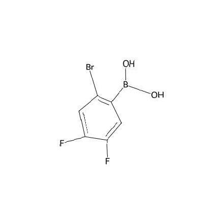 OB(O)c1cc(F)c(F)cc1Br